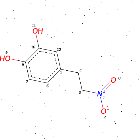 O=[N+]([O-])CCc1ccc(O)c(O)c1